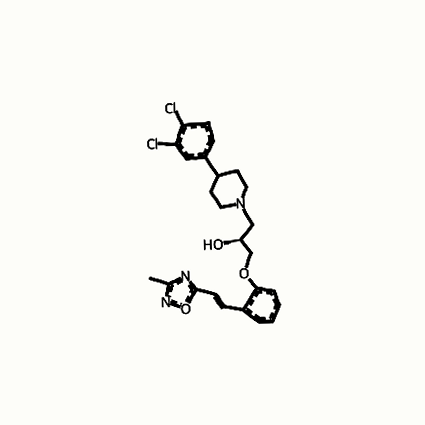 Cc1noc(/C=C/c2ccccc2OC[C@@H](O)CN2CCC(c3ccc(Cl)c(Cl)c3)CC2)n1